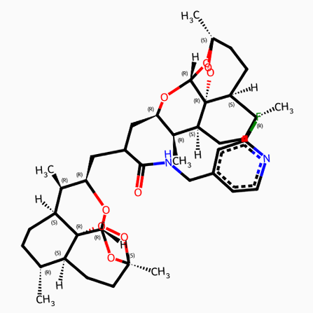 C[C@H]1[C@@H](CC(C[C@H]2O[C@@H]3O[C@]4(C)CC[C@H]5[C@H](C)CC[C@@H]([C@H]2C)[C@@]35OO4)C(=O)NCc2ccnc(F)c2)O[C@@H]2O[C@]3(C)CC[C@H]4[C@H](C)CC[C@@H]1[C@@]24OO3